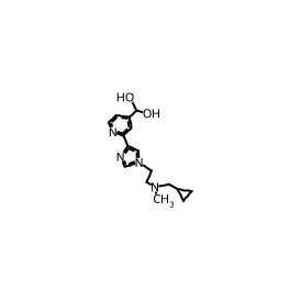 CN(CCn1cnc(-c2cc(C(O)O)ccn2)c1)CC1CC1